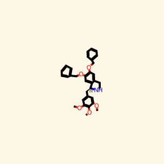 COc1cc(C[C@@H]2NCCc3cc(OCc4ccccc4)c(OCc4ccccc4)cc32)cc(OC)c1OC